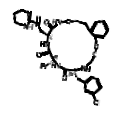 CC(C)[C@H]1NC(=O)[C@@H](Cc2cccc(Cl)c2)NCCOc2ccccc2CCCNC(=O)[C@H](CNC2=NCCCN2)NC1=O